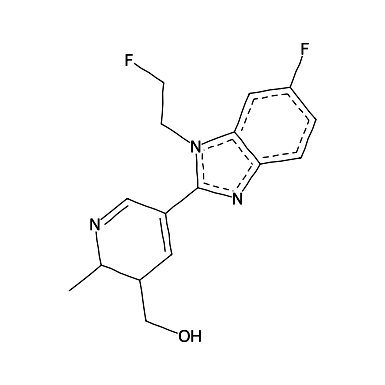 CC1N=CC(c2nc3ccc(F)cc3n2CCF)=CC1CO